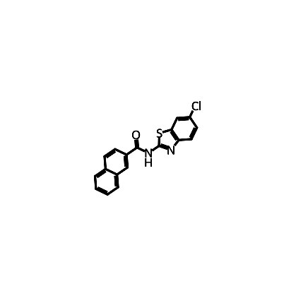 O=C(Nc1nc2ccc(Cl)cc2s1)c1ccc2ccccc2c1